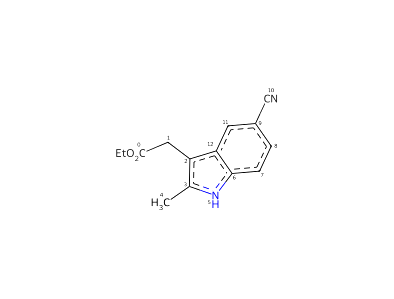 CCOC(=O)Cc1c(C)[nH]c2ccc(C#N)cc12